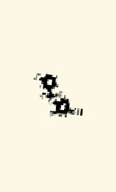 Fc1cccc(C(F)(F)Oc2c(F)cc(S)cc2F)c1